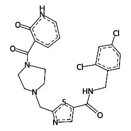 O=C(NCc1ccc(Cl)cc1Cl)c1cnc(CN2CCN(C(=O)c3ccc[nH]c3=O)CC2)s1